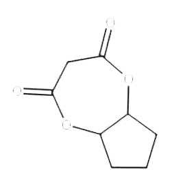 O=C1CC(=O)OC2CCCC2O1